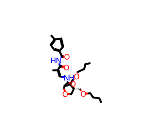 CCCCOCC1C2OC[C@]1(COCCCC)O[C@H]2N/C=C(/C)C(=O)NC(=O)c1ccc(C)cc1